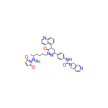 CC(=O)N(C(C)CCCCN1N=C(c2ccc(NC(=O)N3Cc4ccncc4C3)cc2)CC(c2cccc3ncccc23)C1=O)N1C(=O)C=CC1=O